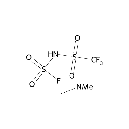 CNC.O=S(=O)(F)NS(=O)(=O)C(F)(F)F